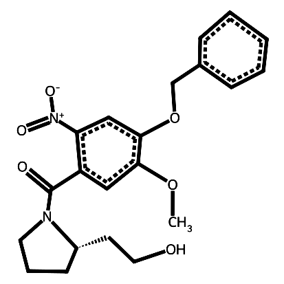 COc1cc(C(=O)N2CCC[C@H]2CCO)c([N+](=O)[O-])cc1OCc1ccccc1